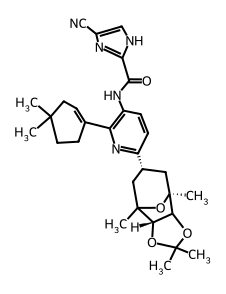 CC1(C)CC=C(c2nc([C@H]3CC4(C)O[C@@](C)(C3)C3OC(C)(C)O[C@@H]34)ccc2NC(=O)c2nc(C#N)c[nH]2)CC1